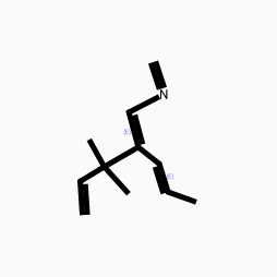 C=CC(C)(C)C(/C=C/C)=C/N=C